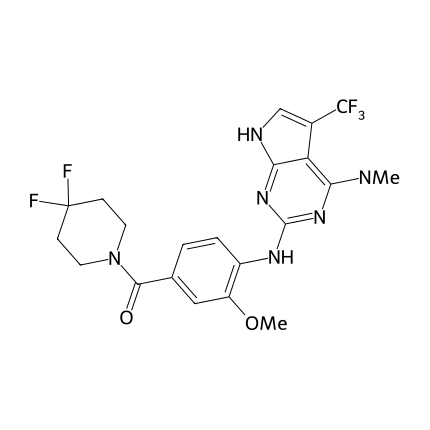 CNc1nc(Nc2ccc(C(=O)N3CCC(F)(F)CC3)cc2OC)nc2[nH]cc(C(F)(F)F)c12